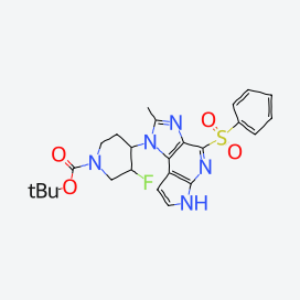 Cc1nc2c(S(=O)(=O)c3ccccc3)nc3[nH]ccc3c2n1C1CCN(C(=O)OC(C)(C)C)CC1F